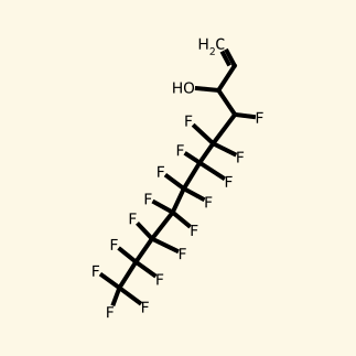 C=CC(O)C(F)C(F)(F)C(F)(F)C(F)(F)C(F)(F)C(F)(F)C(F)(F)C(F)(F)F